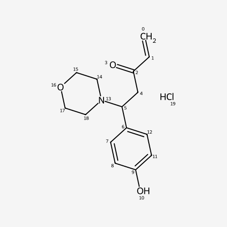 C=CC(=O)CC(c1ccc(O)cc1)N1CCOCC1.Cl